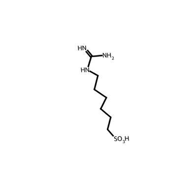 N=C(N)NCCCCCCS(=O)(=O)O